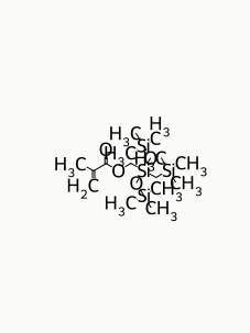 C=C(C)C(=O)OC[Si](C[Si](C)(C)C)(O[Si](C)(C)C)O[Si](C)(C)C